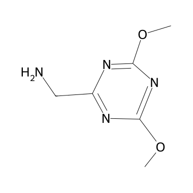 COc1nc(CN)nc(OC)n1